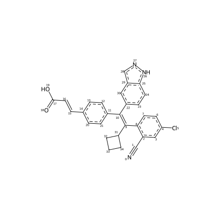 N#Cc1cc(Cl)ccc1C(=C(c1ccc(C=CC(=O)O)cc1)c1ccc2[nH]ncc2c1)C1CCC1